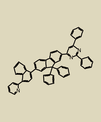 c1ccc(-c2cc(-c3ccc4c(c3)C(c3ccccc3)(c3ccccc3)c3cc(-c5ccc(-c6ccccn6)c6ccccc56)ccc3-4)nc(-c3ccccc3)n2)cc1